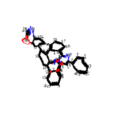 c1ccc(-c2cc(-c3ccccc3)nc(-c3ccccc3-c3c(-c4ccc5ncoc5c4)ccc4ccccc34)n2)cc1